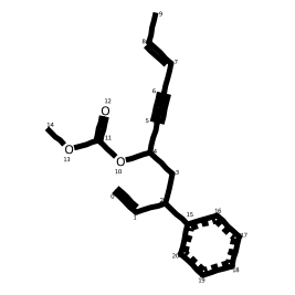 C=CC(CC(C#CC=CC)OC(=O)OC)c1ccccc1